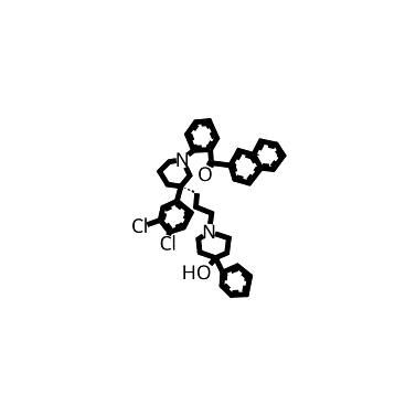 O=C(c1ccc2ccccc2c1)c1ccccc1N1CCC[C@](CCCN2CCC(O)(c3ccccc3)CC2)(c2ccc(Cl)c(Cl)c2)C1